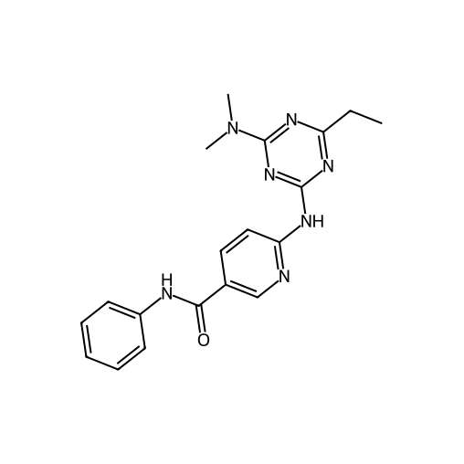 CCc1nc(Nc2ccc(C(=O)Nc3ccccc3)cn2)nc(N(C)C)n1